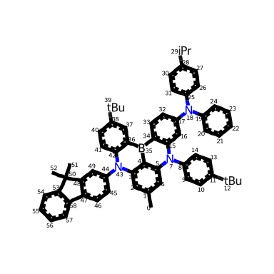 Cc1cc2c3c(c1)N(c1ccc(C(C)(C)C)cc1)c1cc(N(c4ccccc4)c4ccc(C(C)C)cc4)ccc1B3c1cc(C(C)(C)C)ccc1N2c1ccc2c(c1)C(C)(C)c1ccccc1-2